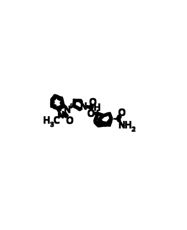 Cn1c(=O)n([C@@H]2CCN(C(=O)O[C@H]3C4CC5CC3C[C@](C(N)=O)(C5)C4)C2)c2ccccc21